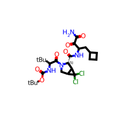 CC(C)(C)OC(=O)NC(C(=O)N1CC2C([C@H]1C(=O)NC(CC1CCC1)C(=O)C(N)=O)C2(Cl)Cl)C(C)(C)C